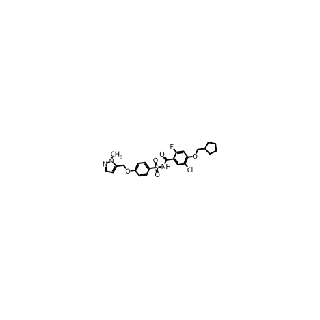 Cn1nccc1COc1ccc(S(=O)(=O)NC(=O)c2cc(Cl)c(OCC3CCCC3)cc2F)cc1